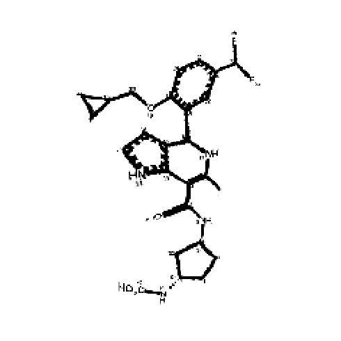 CC1=C(C(=O)N[C@H]2CC[C@H](NC(=O)O)C2)c2[nH]ccc2C(c2cc(C(F)F)ccc2OCC2CC2)N1